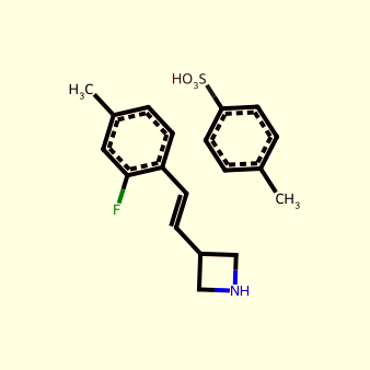 Cc1ccc(/C=C/C2CNC2)c(F)c1.Cc1ccc(S(=O)(=O)O)cc1